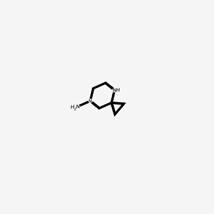 NN1CCNC2(CC2)C1